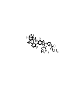 COC(=O)N1CC[C@@H](c2nc3c(F)cc(-c4nc(N[C@@H]5C[C@H]6CO[C@H](O6)[C@H]5O)ncc4F)cc3n2C(C)C)C1